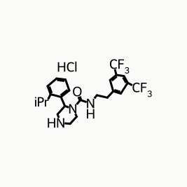 CC(C)c1ccccc1C1CNCCN1C(=O)NCCc1cc(C(F)(F)F)cc(C(F)(F)F)c1.Cl